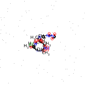 COc1cc2cc(c1Cl)N(C)C(=O)C[C@H](OC(=O)[C@H](C)N(C)C(=O)[C@H]1CC[C@H](CNC(=O)CCN3C(=O)C=CC3=O)CC1)[C@]1(C)OC1C(C)[C@@H]1C[C@@](O)(NC(=O)O1)[C@H](OC)/C=C/C=C(\C)C2